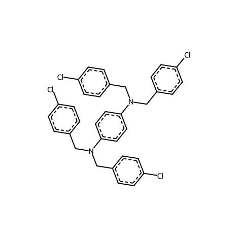 Clc1ccc(CN(Cc2ccc(Cl)cc2)c2ccc(N(Cc3ccc(Cl)cc3)Cc3ccc(Cl)cc3)cc2)cc1